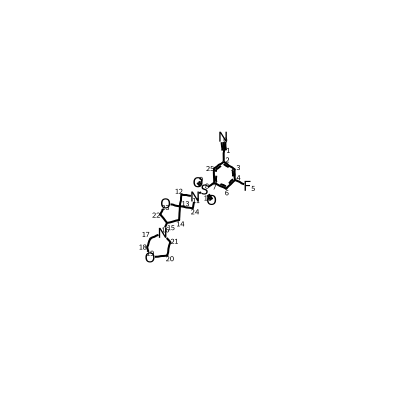 N#Cc1cc(F)cc(S(=O)(=O)N2CC3(CC(N4CCOCC4)CO3)C2)c1